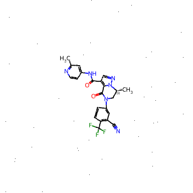 Cc1cc(NC(=O)c2cnn3c2C(=O)N(c2ccc(C(F)(F)F)c(C#N)c2)C[C@@H]3C)ccn1